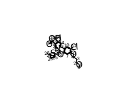 COCCCOc1cc2c(cc1Cl)-c1cc(=O)c(C(=O)O)cn1[C@@H](c1ccc(C)s1)O2